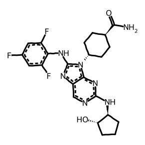 NC(=O)[C@H]1CC[C@H](n2c(Nc3c(F)cc(F)cc3F)nc3cnc(N[C@H]4CCC[C@@H]4O)nc32)CC1